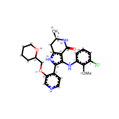 COc1c(Cl)cccc1Nc1c(-c2ccncc2OCC2CCCCO2)[nH]c2c1C(=O)N[C@H](C)C2